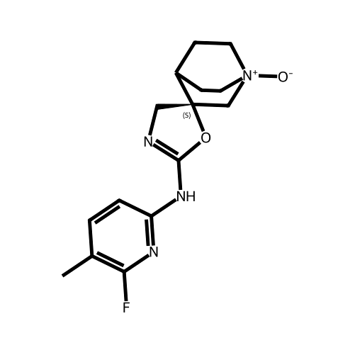 Cc1ccc(NC2=NC[C@@]3(C[N+]4([O-])CCC3CC4)O2)nc1F